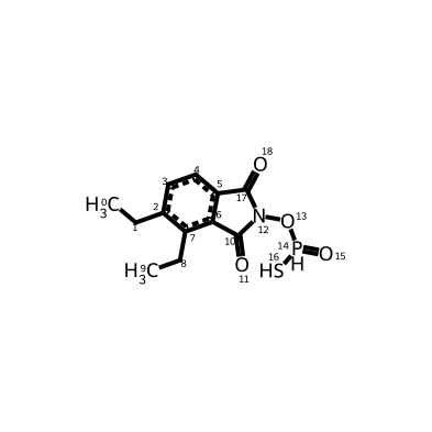 CCc1ccc2c(c1CC)C(=O)N(O[PH](=O)S)C2=O